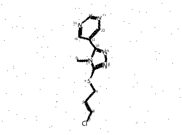 Cn1c(SCCCCl)nnc1-c1cncnc1